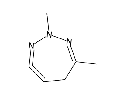 CC1=NN(C)N=C=CC1